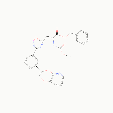 CC(C)(C)OC(=O)N[C@@H](Cc1nc(-c2cccc([C@@H]3COc4cccnc4O3)c2)no1)C(=O)OCc1ccccc1